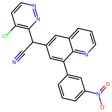 N#CC(c1cc(-c2cccc([N+](=O)[O-])c2)c2ncccc2c1)c1nnccc1Cl